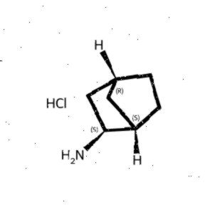 Cl.N[C@H]1C[C@@H]2CC[C@H]1C2